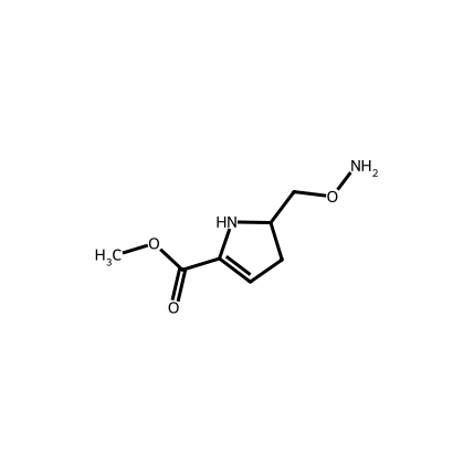 COC(=O)C1=CCC(CON)N1